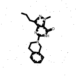 CCCc1nn(C)c2c(=O)[nH]c(N3CCc4ccccc4C3)nc12